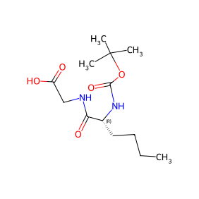 CCCC[C@@H](NC(=O)OC(C)(C)C)C(=O)NCC(=O)O